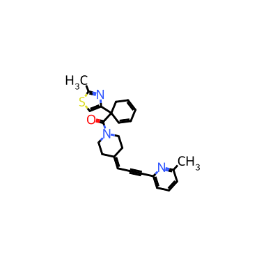 Cc1cccc(C#CC=C2CCN(C(=O)C3(c4csc(C)n4)C=CC=CC3)CC2)n1